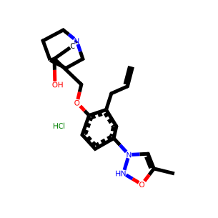 C=CCc1cc(N2C=C(C)ON2)ccc1OCC1(O)CN2CCC1CC2.Cl